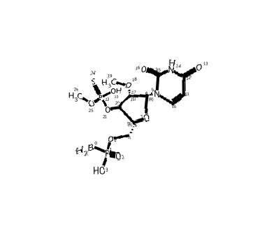 BP(=O)(O)OC[C@H]1O[C@@H](n2ccc(=O)[nH]c2=O)[C@@H](OC)C1OP(O)(=S)OC